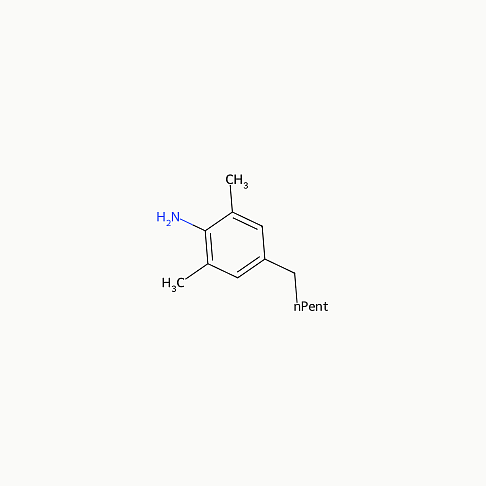 CCCCCCc1cc(C)c(N)c(C)c1